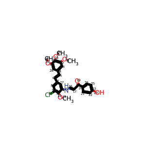 COc1cc(C=Cc2cc(Cl)c(OC)c(NC=CC(=O)c3ccc(O)cc3)c2)cc(OC)c1OC